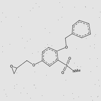 CNS(=O)(=O)c1cc(OCC2CO2)ccc1OCc1ccccc1